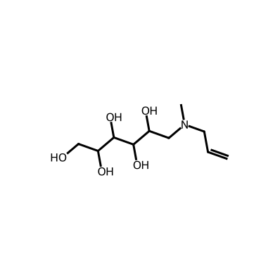 C=CCN(C)CC(O)C(O)C(O)C(O)CO